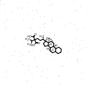 CC(C)C(CC[C@@H](C)[C@@]1(O)CC[C@H]2[C@@H]3CCC4CCCC[C@]4(C)[C@H]3CC[C@@]21C)(C(=O)O)C(=O)O